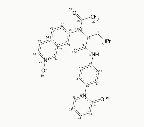 CC(C)CC(C(=O)Nc1ccc(-n2ccccc2=O)cc1)N(C(=O)C(F)(F)F)c1ccc2cc[n+]([O-])cc2c1